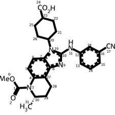 COC(=O)N1c2ccc3c(nc(Nc4cccc(C#N)c4)n3C3CCC(C(=O)O)CC3)c2CC[C@@H]1C